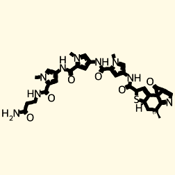 C[C@H]1C[C@H]2SC(C(=O)Nc3cc(C(=O)Nc4cc(C(=O)Nc5cc(C(=O)NCCC(N)=O)n(C)c5)n(C)c4)n(C)c3)C=C2C23C(=O)C2=CN=C13